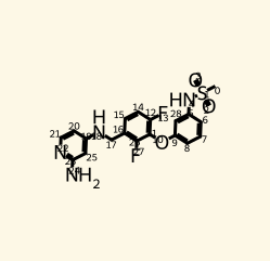 CS(=O)(=O)Nc1cccc(Oc2c(F)ccc(CNc3ccnc(N)c3)c2F)c1